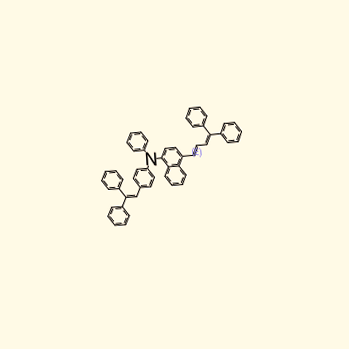 C(/C=C/c1ccc(N(c2ccccc2)c2ccc(C=C(c3ccccc3)c3ccccc3)cc2)c2ccccc12)=C(c1ccccc1)c1ccccc1